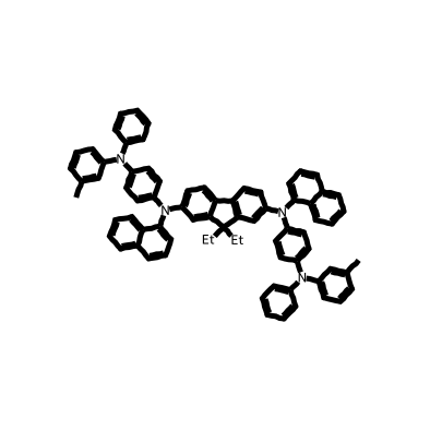 CCC1(CC)c2cc(N(c3ccc(N(c4ccccc4)c4cccc(C)c4)cc3)c3cccc4ccccc34)ccc2-c2ccc(N(c3ccc(N(c4ccccc4)c4cccc(C)c4)cc3)c3cccc4ccccc34)cc21